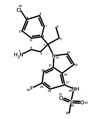 CCC(CCN)(c1ccc(Cl)cc1)n1ccc2c(NS(C)(=O)=O)cc(F)cc21